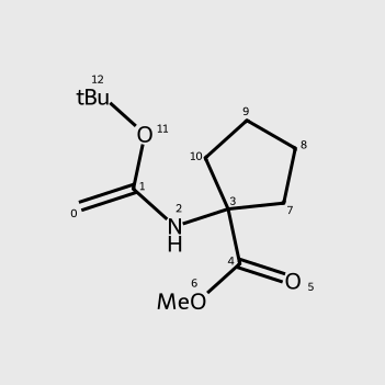 C=C(NC1(C(=O)OC)CCCC1)OC(C)(C)C